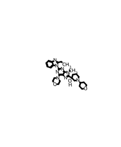 CCc1nc2ccccc2n1-c1nc(N2CCOCC2)c2nc(C3(O)CCCN(C4CCOCC4)C3)n(C)c2n1